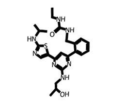 CCNC(=O)NCc1ccccc1-c1cc(-c2cnc(NC(C)C)s2)nc(NCC(C)O)n1